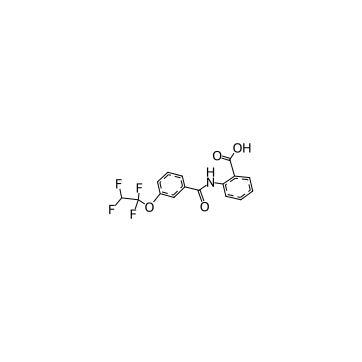 O=C(Nc1ccccc1C(=O)O)c1cccc(OC(F)(F)C(F)F)c1